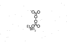 BC(C)(CC)c1ccc(N(c2ccccc2)c2ccc(-c3ccc(N(c4ccccc4)c4ccc(C)cc4)cc3)cc2)cc1